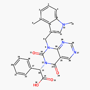 Cc1cccc2c1c(Cn1c(=O)n([C@H](C(=O)O)c3ccccc3)c(=O)c3cncnc31)cn2C